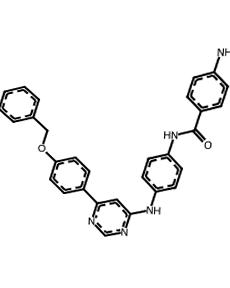 Nc1ccc(C(=O)Nc2ccc(Nc3cc(-c4ccc(OCc5ccccc5)cc4)ncn3)cc2)cc1